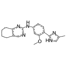 COc1cc(Nc2ncc3c(n2)[CH]CCC3)ccc1-c1nc(C)c[nH]1